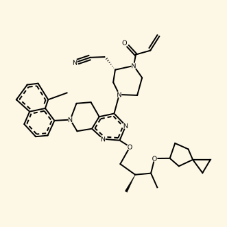 C=CC(=O)N1CCN(c2nc(OC[C@H](C)C(C)OC3CCC4(CC4)C3)nc3c2CCN(c2cccc4cccc(C)c24)C3)C[C@@H]1CC#N